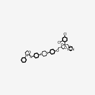 Clc1ccc([C@]2(Cn3cncn3)OC[C@@H](COc3ccc(N4CCN(c5ccc(N=C6OCCN6c6ccccc6)cc5)CC4)cc3)O2)c(Cl)c1